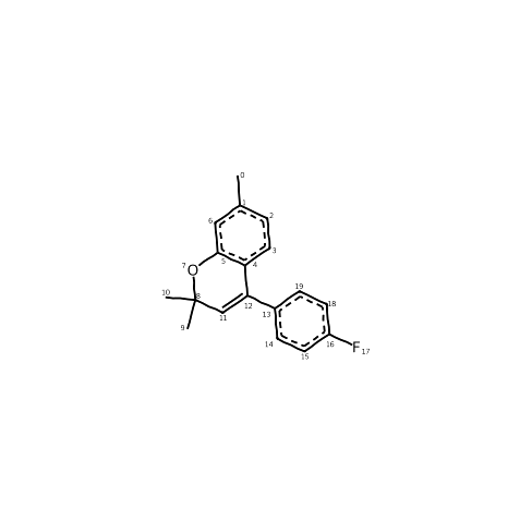 Cc1ccc2c(c1)OC(C)(C)C=C2c1ccc(F)cc1